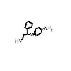 N=C/C=C(\Nc1ccc(N)cc1)c1ccccc1